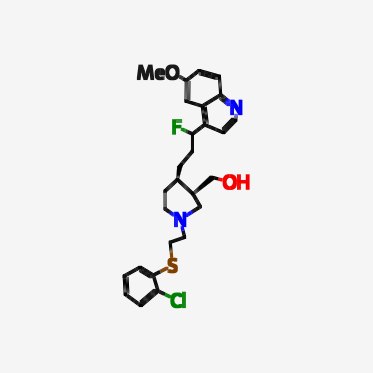 COc1ccc2nccc(C(F)CC[C@@H]3CCN(CCSc4ccccc4Cl)C[C@@H]3CO)c2c1